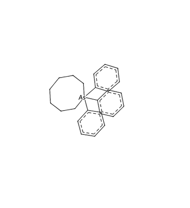 c1ccc([As]2(c3ccccc3)(c3ccccc3)CCCCCCC2)cc1